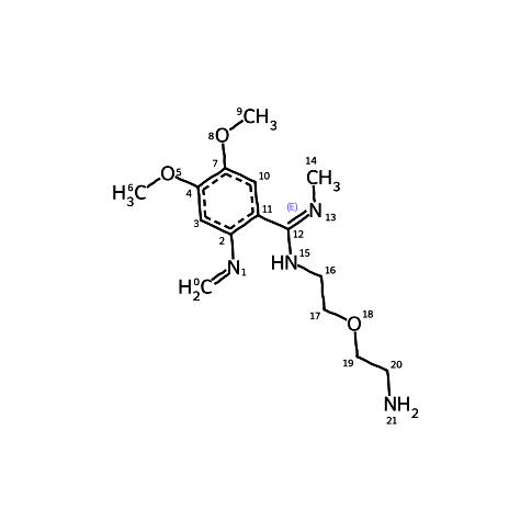 C=Nc1cc(OC)c(OC)cc1/C(=N\C)NCCOCCN